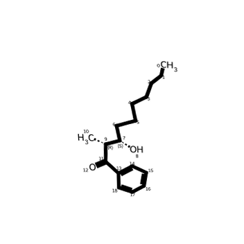 CCCCCCC[C@H](O)[C@@H](C)C(=O)c1ccccc1